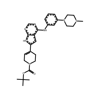 CN1CCN(c2cccc(Nc3ncnc4[nH]c(C5=CCN(C(=O)OC(C)(C)C)CC5)cc34)c2)CC1